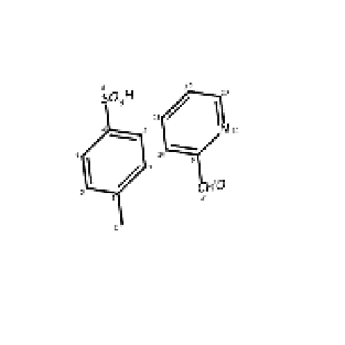 Cc1ccc(S(=O)(=O)O)cc1.O=Cc1ccccn1